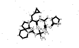 CC(C)(C)OC(=O)N1CCCCC12CCN(C(CC1CC1)C(=O)N[C@H](C#N)C[C@@H]1CCNC1=O)C2=O